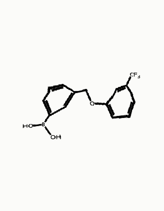 OB(O)c1cccc(COc2cccc(C(F)(F)F)c2)c1